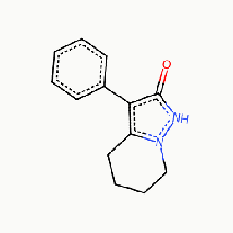 O=c1[nH]n2c(c1-c1ccccc1)CCCC2